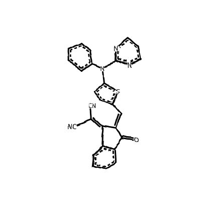 N#CC(C#N)=C1/C(=C\c2ccc(N(c3ccccc3)c3ncccn3)s2)C(=O)c2ccccc21